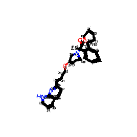 CCC(C(=O)OC)(c1ccccc1C1CCCCO1)N1CC[C@@H](OCCCCc2ccc3c(n2)NCCC3)C1